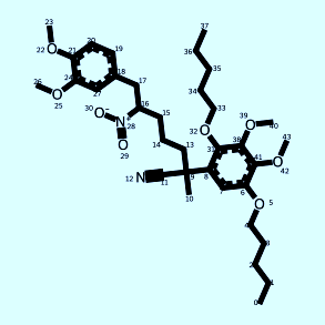 CCCCCOc1cc(C(C)(C#N)CCCC(Cc2ccc(OC)c(OC)c2)[N+](=O)[O-])c(OCCCCC)c(OC)c1OC